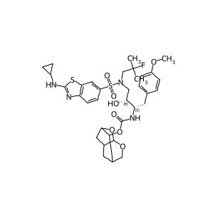 COc1ccc(C[C@H](NC(=O)OC2C3COC4OC2CC4C3)[C@H](O)CN(CC(C)(C)F)S(=O)(=O)c2ccc3nc(NC4CC4)sc3c2)cc1